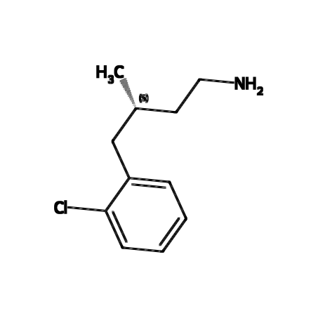 C[C@H](CCN)Cc1ccccc1Cl